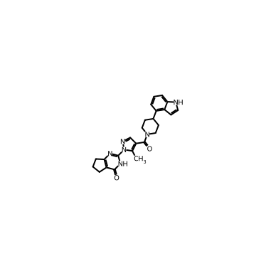 Cc1c(C(=O)N2CCC(c3cccc4[nH]ccc34)CC2)cnn1-c1nc2c(c(=O)[nH]1)CCC2